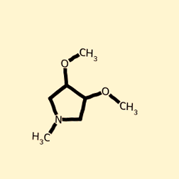 COC1CN(C)CC1OC